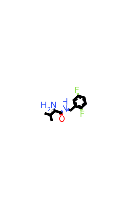 CC(C)[C@@H](N)C(=O)NCc1cc(F)ccc1F